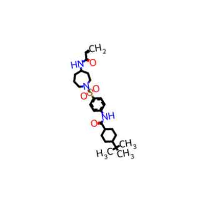 C=CC(=O)NC1CCCN(S(=O)(=O)c2ccc(NC(=O)C3CCC(C(C)(C)C)CC3)cc2)CC1